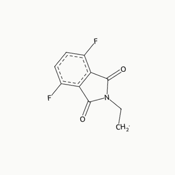 [CH2]CN1C(=O)c2c(F)ccc(F)c2C1=O